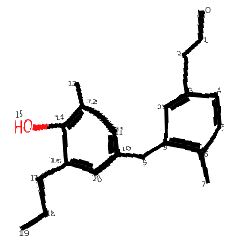 CCCc1ccc(C)c(Cc2cc(C)c(O)c(CCC)c2)c1